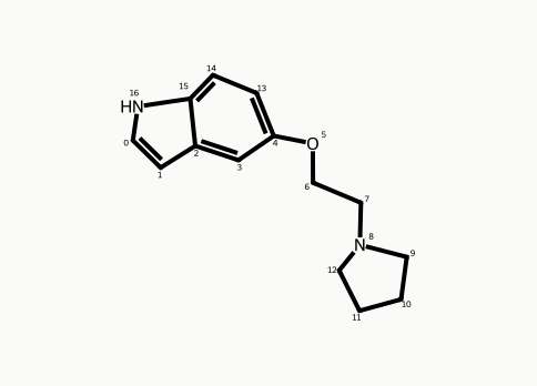 c1cc2cc(OCCN3CCCC3)ccc2[nH]1